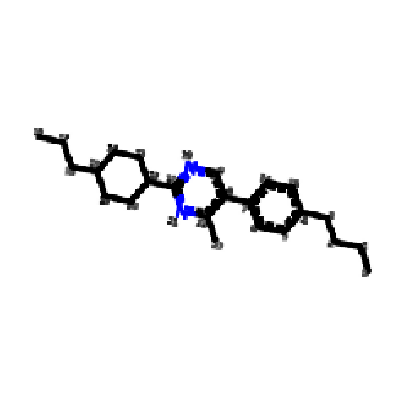 CCCCc1ccc(-c2cnc(C3CCC(CCC)CC3)nc2C)cc1